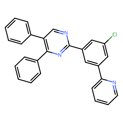 Clc1cc(-c2ccccn2)cc(-c2ncc(-c3ccccc3)c(-c3ccccc3)n2)c1